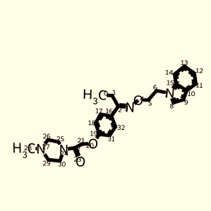 CC/C(=N\OCCn1ccc2ccccc21)c1ccc(OCC(=O)N2CCN(C)CC2)cc1